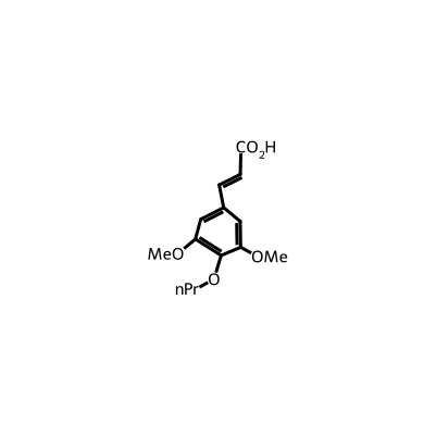 CCCOc1c(OC)cc(/C=C/C(=O)O)cc1OC